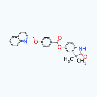 CC1(C)C(=O)Nc2ccc(OC(=O)c3ccc(OCc4ccc5ccccc5n4)cc3)cc21